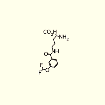 N[C@@H](CCCNC(=O)c1cccc(OC(F)F)c1)C(=O)O